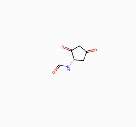 O=CN[C@H]1CC(=O)CC1=O